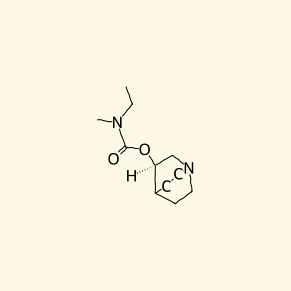 CCN(C)C(=O)O[C@H]1CN2CCC1CC2